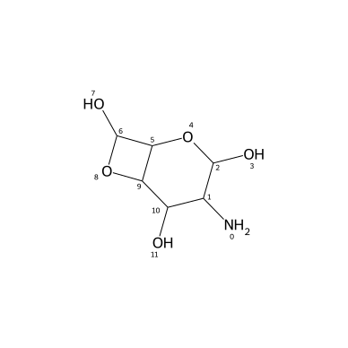 NC1C(O)OC2C(O)OC2C1O